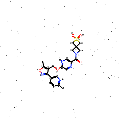 Cc1ccc(-c2noc(C)c2COc2cnc(C(=O)N3CC4(C3)CS(=O)(=O)C4)cn2)cn1